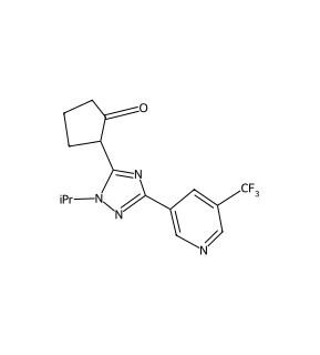 CC(C)n1nc(-c2cncc(C(F)(F)F)c2)nc1C1CCCC1=O